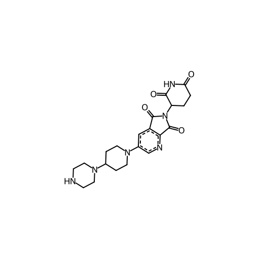 O=C1CCC(N2C(=O)c3cc(N4CCC(N5CCNCC5)CC4)cnc3C2=O)C(=O)N1